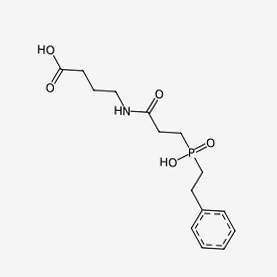 O=C(O)CCCNC(=O)CCP(=O)(O)CCc1ccccc1